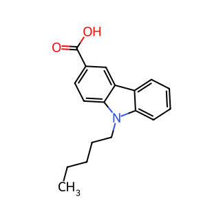 CCCCCn1c2ccccc2c2cc(C(=O)O)ccc21